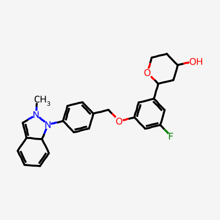 CN1C=C2C=CC=CC2N1c1ccc(COc2cc(F)cc(C3CC(O)CCO3)c2)cc1